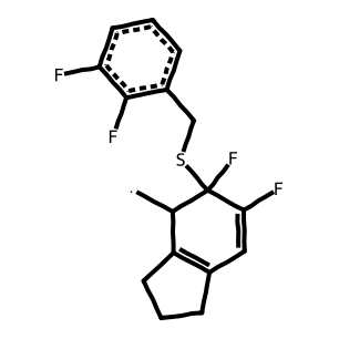 [CH2]C1C2=C(C=C(F)C1(F)SCc1cccc(F)c1F)CCC2